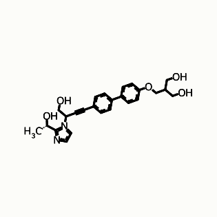 C[C@H](O)c1nccn1C(C#Cc1ccc(-c2ccc(OCC(CO)CO)cc2)cc1)CO